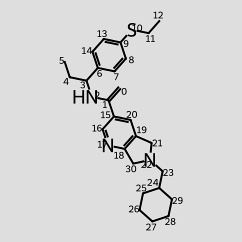 C=C(NC(CC)c1ccc(SCC)cc1)c1cnc2c(c1)CN(CC1CCCCC1)C2